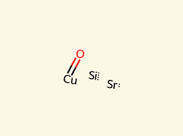 [O]=[Cu].[Si].[Sr]